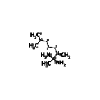 C=C(CCCC(C)C)C(C)(N)N